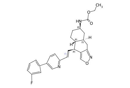 CCOC(=O)N[C@@H]1CC[C@@H]2[C@H](Cc3nocc3[C@H]2/C=C/c2ccc(-c3cccc(F)c3)cn2)C1